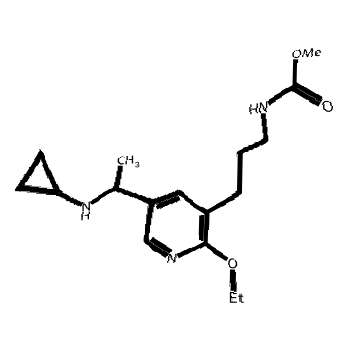 CCOc1ncc(C(C)NC2CC2)cc1CCCNC(=O)OC